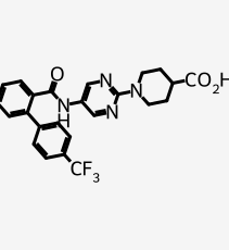 O=C(Nc1cnc(N2CCC(C(=O)O)CC2)nc1)c1ccccc1-c1ccc(C(F)(F)F)cc1